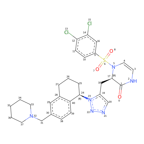 O=C1NC=CN(S(=O)(=O)c2ccc(Cl)c(Cl)c2)[C@@H]1Cc1cnnn1[C@@H]1CCCc2cc(CN3CCCCC3)ccc21